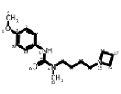 COc1ccc(NC(=O)N(C)CCCCN2CCC2)cc1